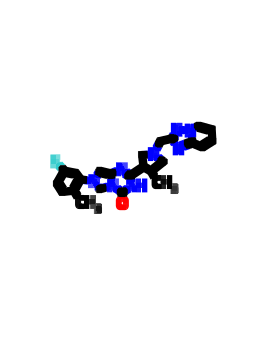 Cc1ccc(F)cc1N1C=C2N=C(C3CN(Cc4nc5ccccn5n4)CC3C)NC(=O)N2C1